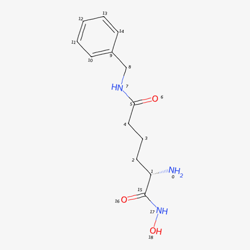 N[C@@H](CCCC(=O)NCc1ccccc1)C(=O)NO